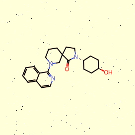 O=C1N([C@H]2CC[C@H](O)CC2)CCC12CCCN(c1nccc3ccccc13)C2